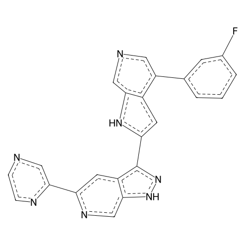 Fc1cccc(-c2cncc3[nH]c(-c4n[nH]c5cnc(-c6cnccn6)cc45)cc23)c1